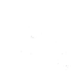 C=CC[N+]1(CC=C)CCC(=O)CC1.COS(=O)(=O)[O-]